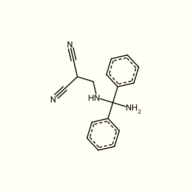 N#CC(C#N)CNC(N)(c1ccccc1)c1ccccc1